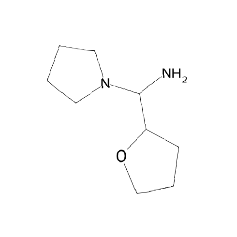 NC(C1CCCO1)N1CCCC1